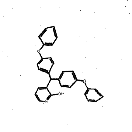 Oc1ncccc1C(c1ccc(Oc2ccccc2)cc1)c1ccc(Oc2ccccc2)cc1